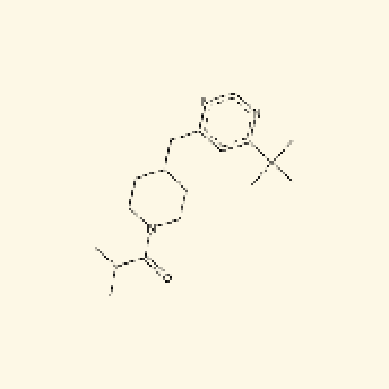 CC(C)C(=O)N1CCC(Cc2cc(C(C)(C)C)ncn2)CC1